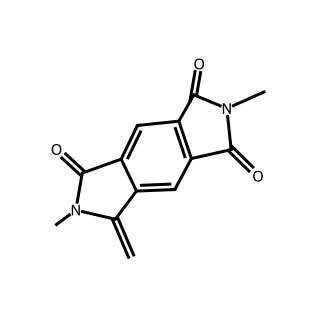 C=C1c2cc3c(cc2C(=O)N1C)C(=O)N(C)C3=O